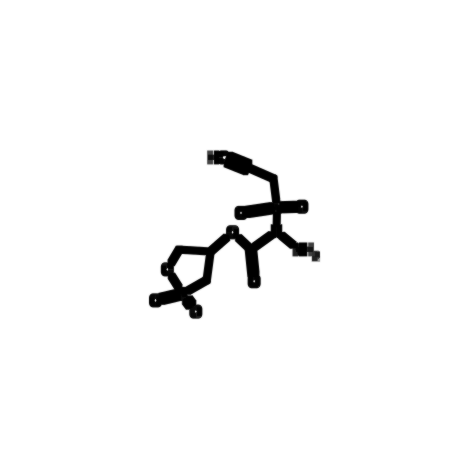 C#CCS(=O)(=O)N(N)C(=O)OC1COS(=O)(=O)C1